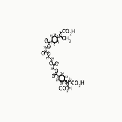 CN(CC(=O)O)c1ccc(C(=O)OCC(=O)OCCOC(=O)COC(=O)c2ccc(N(CC(=O)O)CC(=O)O)cc2)cc1